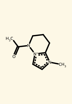 CC(=O)N1CCCc2n(C)cc[n+]21